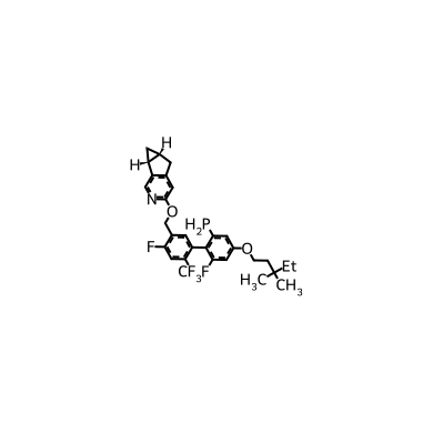 CCC(C)(C)CCOc1cc(F)c(-c2cc(COc3cc4c(cn3)[C@@H]3C[C@@H]3C4)c(F)cc2C(F)(F)F)c(P)c1